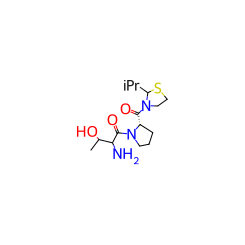 CC(C)C1SCCN1C(=O)[C@@H]1CCCN1C(=O)C(N)C(C)O